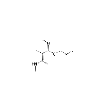 CCCOC(=N/C)/C(C)=C(\C)NC